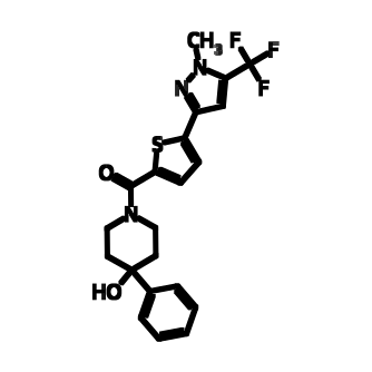 Cn1nc(-c2ccc(C(=O)N3CCC(O)(c4ccccc4)CC3)s2)cc1C(F)(F)F